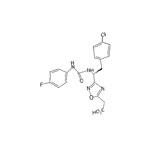 O=C(O)Cc1nc([C@H](Cc2ccc(Cl)cc2)NC(=O)Nc2ccc(F)cc2)no1